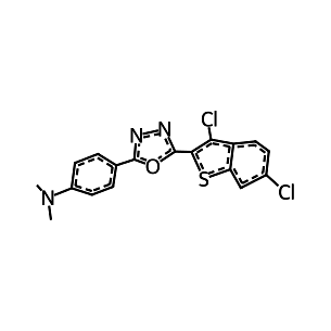 CN(C)c1ccc(-c2nnc(-c3sc4cc(Cl)ccc4c3Cl)o2)cc1